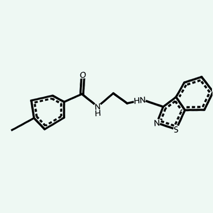 Cc1ccc(C(=O)NCCNc2nsc3ccccc23)cc1